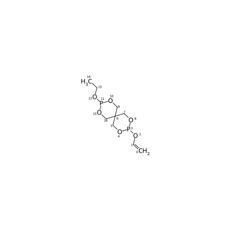 C=COP1OCC2(CO1)COP(OCC)OC2